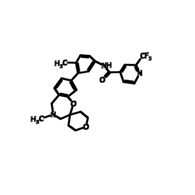 Cc1ccc(NC(=O)c2ccnc(C(F)(F)F)c2)cc1-c1ccc2c(c1)OC1(CCOCC1)CN(C)C2